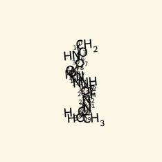 C=CC(=O)Nc1cccc(-c2onc3cnc(Nc4ccc(N5CCN(CC(C)(C)O)CC5)c(F)c4F)nc23)c1